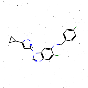 C[C@H](Nc1cc2c(cc1F)ncn2-c1cc(C2CC2)[nH]n1)c1ccc(F)cc1